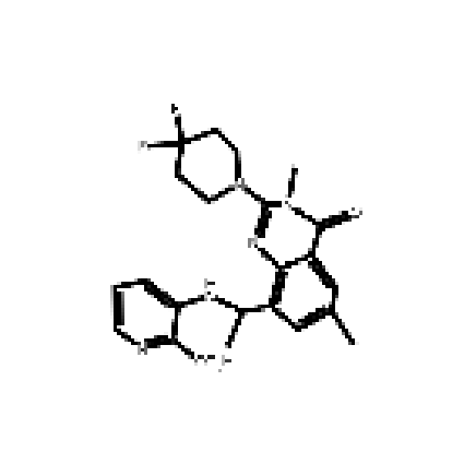 Cc1cc(C(C)Nc2cccnc2C(=O)O)c2nc(N3CCC(F)(F)CC3)n(C)c(=O)c2c1